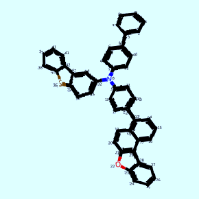 c1ccc(-c2ccc(N(c3ccc(-c4cccc5c4ccc4oc6ccccc6c45)cc3)c3ccc4sc5ccccc5c4c3)cc2)cc1